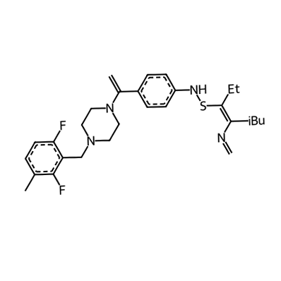 C=N/C(=C(/CC)SNc1ccc(C(=C)N2CCN(Cc3c(F)ccc(C)c3F)CC2)cc1)C(C)CC